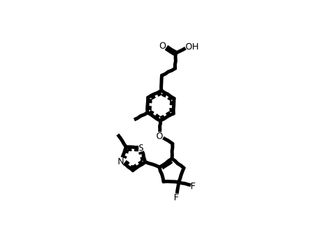 Cc1ncc(C2=C(COc3ccc(CCC(=O)O)cc3C)CC(F)(F)C2)s1